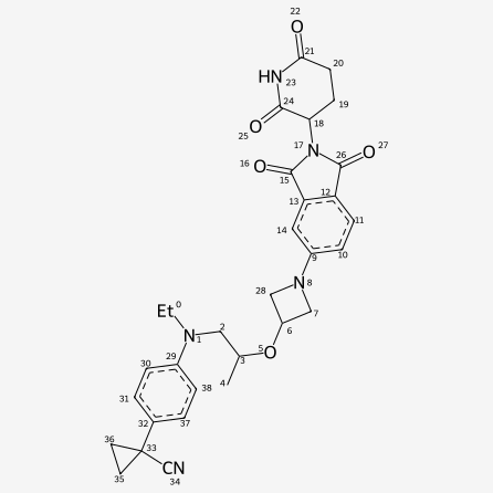 CCN(CC(C)OC1CN(c2ccc3c(c2)C(=O)N(C2CCC(=O)NC2=O)C3=O)C1)c1ccc(C2(C#N)CC2)cc1